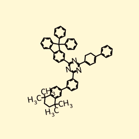 CC1(C)CCC(C)(C)c2cc(-c3cccc(-c4nc(C5=CC=C(c6ccccc6)CC5)nc(-c5ccc6c(c5)C(c5ccccc5)(c5ccccc5)c5ccccc5-6)n4)c3)ccc21